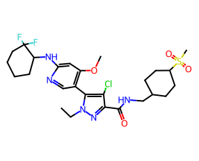 CCn1nc(C(=O)NCC2CCC(S(C)(=O)=O)CC2)c(Cl)c1-c1cnc(NC2CCCCC2(F)F)cc1OC